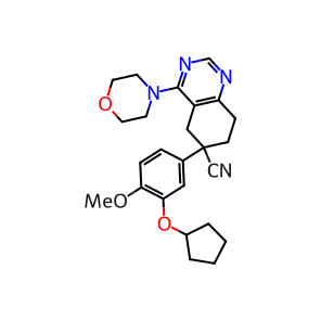 COc1ccc(C2(C#N)CCc3ncnc(N4CCOCC4)c3C2)cc1OC1CCCC1